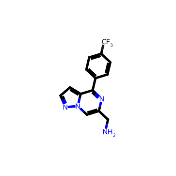 NCc1cn2nccc2c(-c2ccc(C(F)(F)F)cc2)n1